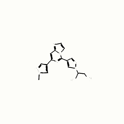 Cn1cc(-c2cc3nccn3c(-c3cnn(C(CC#N)C(C)(C)C)c3)n2)cn1